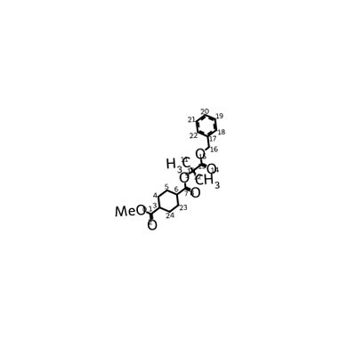 COC(=O)C1CCC(C(=O)OC(C)(C)C(=O)OCc2ccccc2)CC1